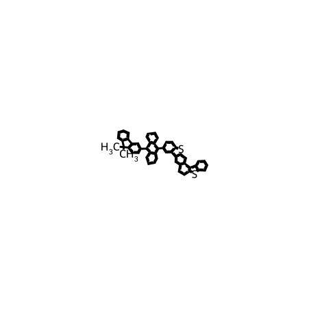 CC1(C)c2ccccc2-c2cc(-c3c4ccccc4c(-c4ccc5sc6cc7c(ccc8sc9ccccc9c87)cc6c5c4)c4ccccc34)ccc21